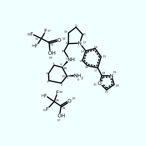 N[C@H]1CCCC[C@H]1NCC1CCCN1c1ccc(-c2ncco2)cc1.O=C(O)C(F)(F)F.O=C(O)C(F)(F)F